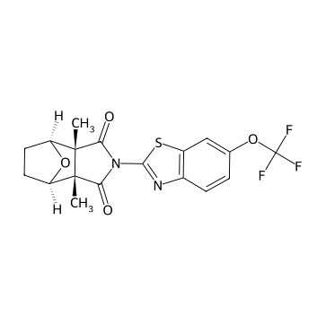 C[C@@]12C(=O)N(c3nc4ccc(OC(F)(F)F)cc4s3)C(=O)[C@]1(C)[C@H]1CC[C@@H]2O1